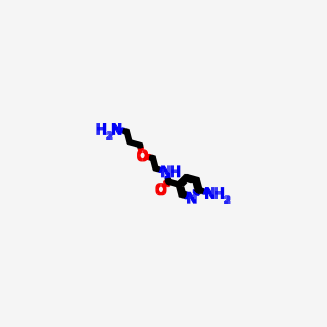 NCCCOCCNC(=O)c1ccc(N)nc1